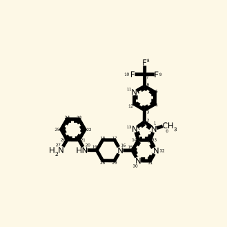 Cn1c(-c2ccc(C(F)(F)F)nc2)nc2c(N3CCC(Nc4ccccc4N)CC3)ncnc21